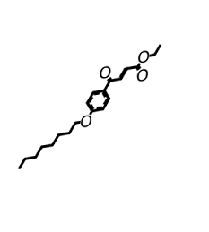 CCCCCCCCOc1ccc(C(=O)C=CC(=O)OCC)cc1